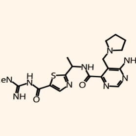 CNC(=N)NC(=O)c1cnc(C(C)NC(=O)c2ncnc(N)c2CN2CCCC2)s1